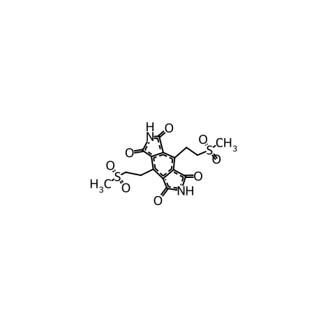 CS(=O)(=O)CCc1c2c(=O)[nH]c(=O)c2c(CCS(C)(=O)=O)c2c(=O)[nH]c(=O)c12